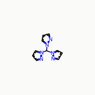 c1cnn(C(n2cccn2)n2cccn2)c1